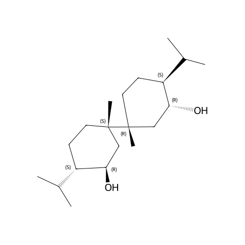 CC(C)[C@@H]1CC[C@](C)([C@]2(C)CC[C@@H](C(C)C)[C@H](O)C2)C[C@H]1O